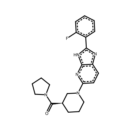 O=C([C@@H]1CCCN(c2ccc3nc(-c4ccccc4F)[nH]c3n2)C1)N1CCCC1